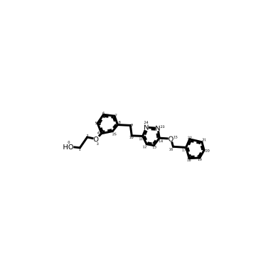 OCCOc1cccc(CCc2ccc(OCc3ccccc3)nn2)c1